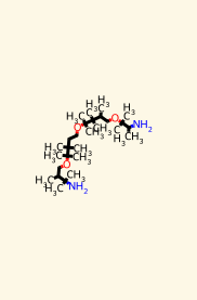 CC(COC(C)(C)C(C)(C)CCOC(C)(C)C(C)(C)C(C)COC(C)(C)C(C)N)C(C)(C)N